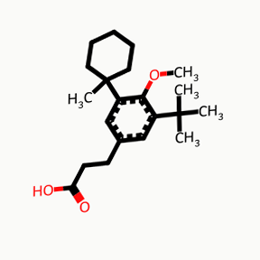 COc1c(C(C)(C)C)cc(CCC(=O)O)cc1C1(C)CCCCC1